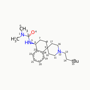 CN(C)C(=O)N[C@H]1CCC2(CCN(CCC(C)(C)C)CC2)c2ccccc21